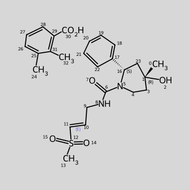 C[C@@]1(O)CCN(C(=O)NC/C=C/S(C)(=O)=O)[C@H](c2ccccc2)C1.Cc1cccc(C(=O)O)c1C